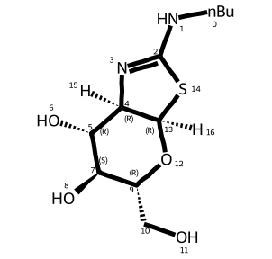 CCCCNC1=N[C@@H]2[C@@H](O)[C@H](O)[C@@H](CO)O[C@@H]2S1